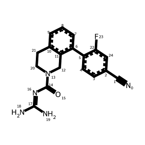 N#Cc1ccc(-c2cccc3c2CN(C(=O)N=C(N)N)CC3)c(F)c1